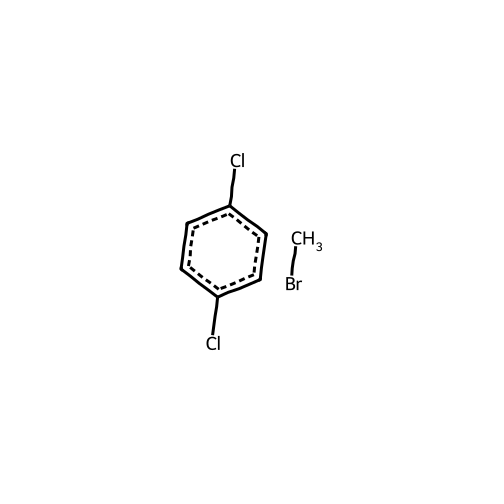 CBr.Clc1ccc(Cl)cc1